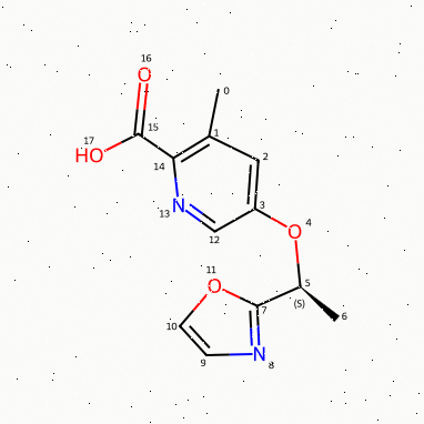 Cc1cc(O[C@@H](C)c2ncco2)cnc1C(=O)O